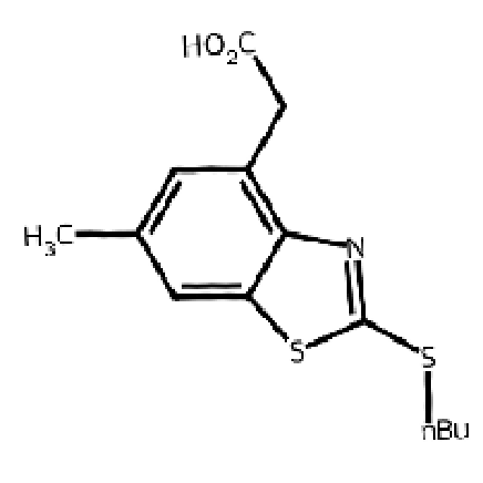 CCCCSc1nc2c(CC(=O)O)cc(C)cc2s1